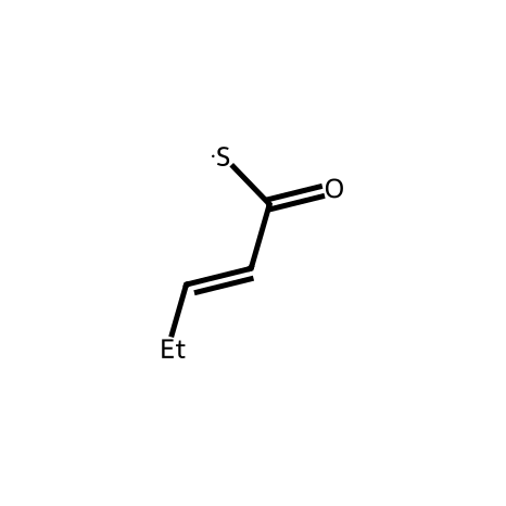 CCC=CC(=O)[S]